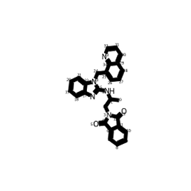 CC(CN1C(=O)c2ccccc2C1=O)Nc1nc2ccccc2n1Cc1cccc2cccnc12